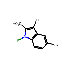 CCc1c(C(=O)O)n(F)c2ccc(C#N)cc12